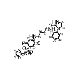 O=S(=O)(Nc1nccs1)c1cc(Cl)c(NCCCCNC[C@H]2NCC[C@@H]2c2ccccc2)cc1F